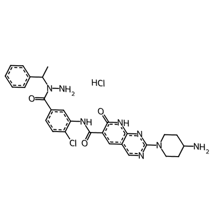 CC(c1ccccc1)N(N)C(=O)c1ccc(Cl)c(NC(=O)c2cc3cnc(N4CCC(N)CC4)nc3[nH]c2=O)c1.Cl